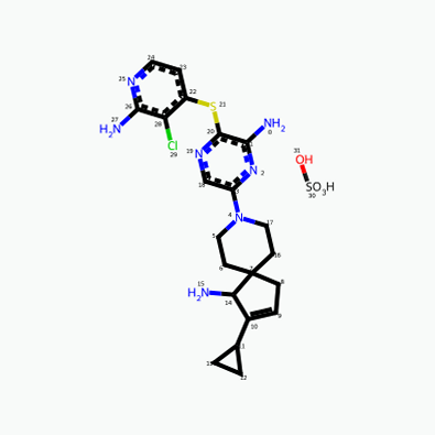 Nc1nc(N2CCC3(CC=C(C4CC4)C3N)CC2)cnc1Sc1ccnc(N)c1Cl.O=S(=O)(O)O